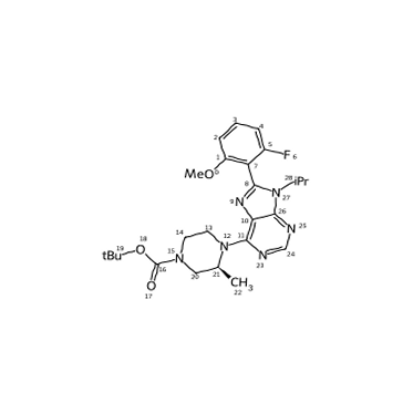 COc1cccc(F)c1-c1nc2c(N3CCN(C(=O)OC(C)(C)C)C[C@@H]3C)ncnc2n1C(C)C